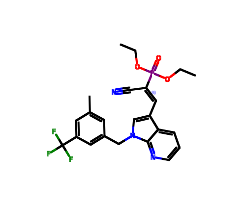 CCOP(=O)(OCC)/C(C#N)=C/c1cn(Cc2cc(C)cc(C(F)(F)F)c2)c2ncccc12